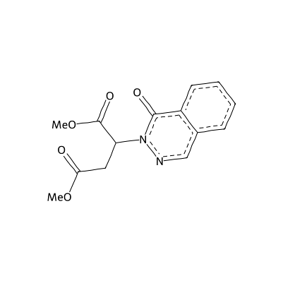 COC(=O)CC(C(=O)OC)n1ncc2ccccc2c1=O